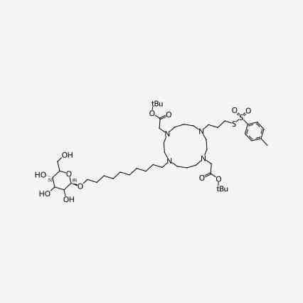 Cc1ccc(S(=O)(=O)SCCCN2CCCN(CC(=O)OC(C)(C)C)CCN(CCCCCCCCCCO[C@@H]3OC(CO)[C@@H](O)C(O)C3O)CCCN(CC(=O)OC(C)(C)C)CC2)cc1